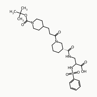 CC(C)(C)OC(=O)N1CCC(CCC(=O)N2CCC[C@@H](C(=O)NCC(NS(=O)(=O)c3ccccc3)C(=O)O)C2)CC1